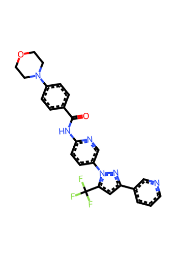 O=C(Nc1ccc(-n2nc(-c3cccnc3)cc2C(F)(F)F)cn1)c1ccc(N2CCOCC2)cc1